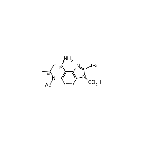 CC(=O)N1c2ccc3c(nc(C(C)(C)C)n3C(=O)O)c2[C@H](N)C[C@@H]1C